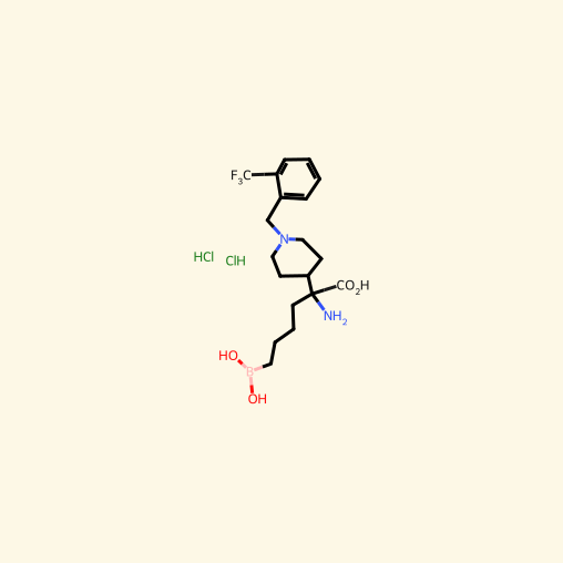 Cl.Cl.NC(CCCCB(O)O)(C(=O)O)C1CCN(Cc2ccccc2C(F)(F)F)CC1